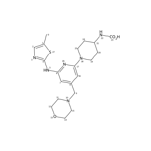 Cc1cnc(Nc2cc(CN3CCOCC3)cc(N3CCC(NC(=O)O)CC3)n2)s1